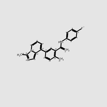 C=C(Nc1ccc(F)cc1)c1cc(-c2cccn3c(C)ncc23)ccc1C